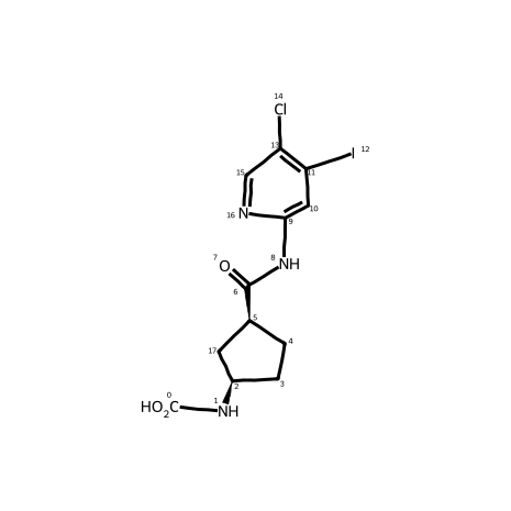 O=C(O)N[C@@H]1CC[C@H](C(=O)Nc2cc(I)c(Cl)cn2)C1